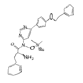 CC(C)(C)[Si](C)(C)ON(C(=O)C(N)Cc1ccccc1)c1cc(-c2ccc(OCc3ccccc3)cc2)ncn1